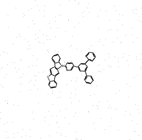 c1ccc(-c2cc(-c3ccccc3)cc(-c3ccc(-n4c5ccccc5c5cc6sc7ccccc7c6cc54)nc3)c2)cc1